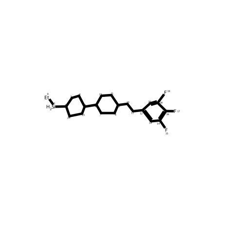 CC[SiH2]C1CCC(C2CCC(CCc3cc(F)c(F)c(F)c3)CC2)CC1